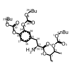 CCCCOC(=O)OC(C)C(C)OC(=O)[C@@H](N)Cc1ccc(OC(=O)O[C@@H](C)CC)c(OC(=O)OC(C)CC)c1